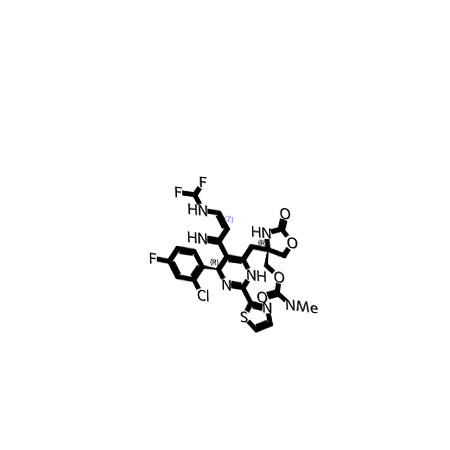 CNC(=O)OC[C@]1(CC2=C(C(=N)/C=C\NC(F)F)[C@H](c3ccc(F)cc3Cl)N=C(c3nccs3)N2)COC(=O)N1